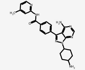 Cc1ccnc(NC(=O)c2ccc(-c3nn(C4CCC(N)CC4)c4ncnc(N)c34)cc2)c1